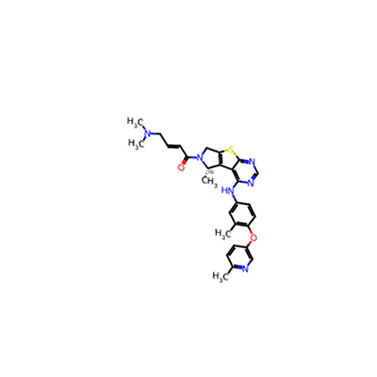 Cc1ccc(Oc2ccc(Nc3ncnc4sc5c(c34)[C@H](C)N(C(=O)C=CCN(C)C)C5)cc2C)cn1